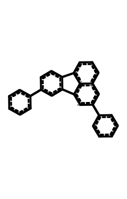 [c]1c(-c2ccccc2)cc2cccc3c2c1-c1cc(-c2ccccc2)ccc1-3